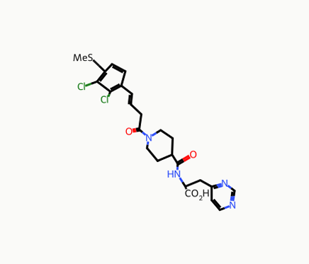 CSc1ccc(/C=C/CC(=O)N2CCC(C(=O)NC(Cc3ccncn3)C(=O)O)CC2)c(Cl)c1Cl